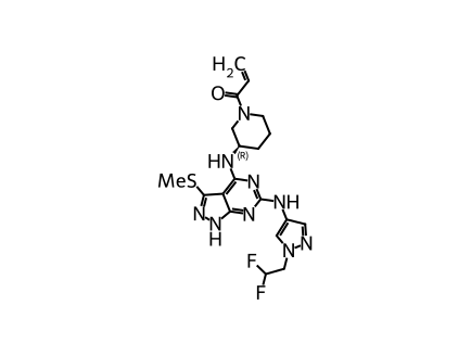 C=CC(=O)N1CCC[C@@H](Nc2nc(Nc3cnn(CC(F)F)c3)nc3[nH]nc(SC)c23)C1